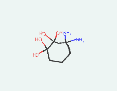 NC1(N)CCCC(O)(O)C1(O)O